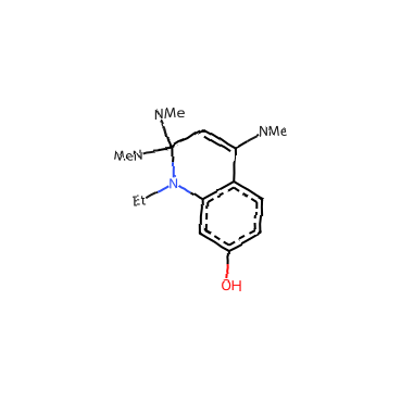 CCN1c2cc(O)ccc2C(NC)=CC1(NC)NC